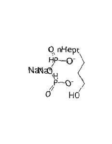 CCCCCCCCCCO.O=[PH]([O-])O[PH](=O)[O-].[Na+].[Na+]